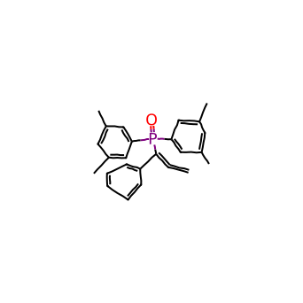 C=C=C(c1ccccc1)P(=O)(c1cc(C)cc(C)c1)c1cc(C)cc(C)c1